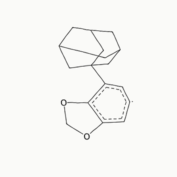 [c]1cc2c(c(C34CC5CC(CC(C5)C3)C4)c1)OCO2